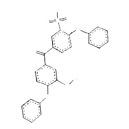 O=C(c1ccc(Oc2ccccc2)c(OS)c1)c1ccc(Oc2ccccc2)c(S(=O)(=O)O)c1